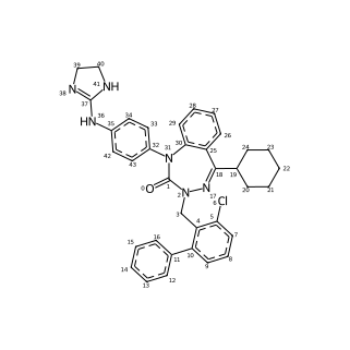 O=C1N(Cc2c(Cl)cccc2-c2ccccc2)N=C(C2CCCCC2)c2ccccc2N1c1ccc(NC2=NCCN2)cc1